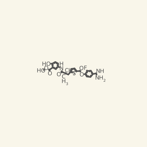 CC(C)(Cc1ccc(C(=O)Oc2ccc(C(=N)N)cc2F)s1)C(=O)Nc1ccc(O)c(C(=O)OO)c1